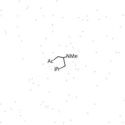 CNC(CC(C)=O)CC(C)C